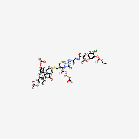 CCCC(=O)Oc1cc2oc(=O)c(C(=O)NCC(=O)NC3C(=O)N4C(C(=O)OCOC(C)=O)=C(CSc5ccc6c(c5)C(=O)OC65c6ccc(OC(C)=O)cc6Oc6cc(OC(C)=O)ccc65)CSC34)cc2cc1Cl